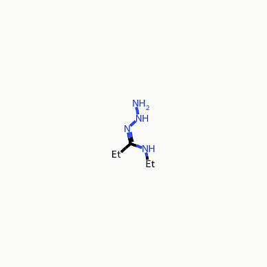 CCN/C(CC)=N\NN